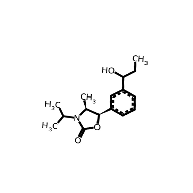 CCC(O)c1cccc([C@H]2OC(=O)N(C(C)C)[C@H]2C)c1